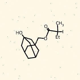 CCC(C)(I)C(=O)OCC12CC3CC(CC(O)(C3)C1)C2